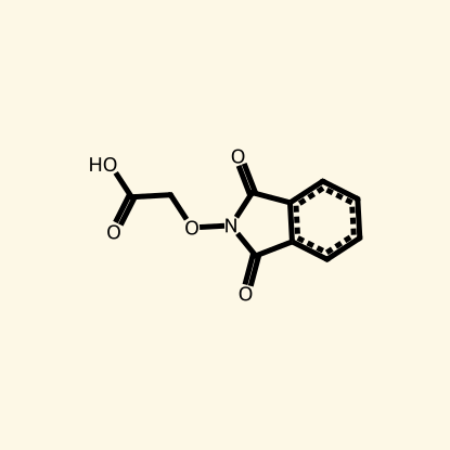 O=C(O)CON1C(=O)c2ccccc2C1=O